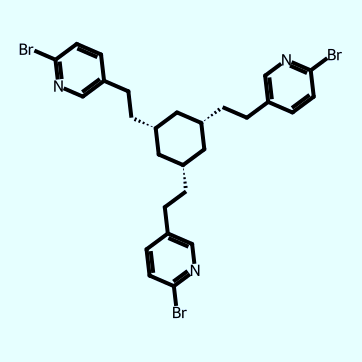 Brc1ccc(CC[C@H]2C[C@@H](CCc3ccc(Br)nc3)C[C@@H](CCc3ccc(Br)nc3)C2)cn1